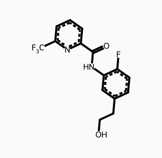 O=C(Nc1cc(CCO)ccc1F)c1cccc(C(F)(F)F)n1